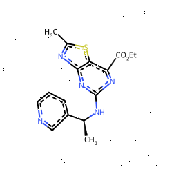 CCOC(=O)c1nc(N[C@@H](C)c2cccnc2)nc2nc(C)sc12